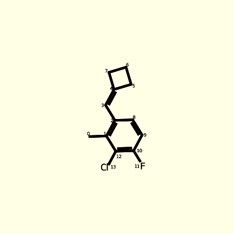 Cc1c(C=C2CCC2)ccc(F)c1Cl